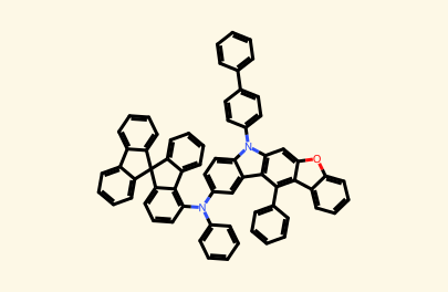 c1ccc(-c2ccc(-n3c4ccc(N(c5ccccc5)c5cccc6c5-c5ccccc5C65c6ccccc6-c6ccccc65)cc4c4c(-c5ccccc5)c5c(cc43)oc3ccccc35)cc2)cc1